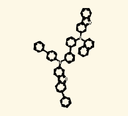 c1ccc(-c2ccc(N(c3cccc(-c4cccc(N(c5ccc6c(c5)oc5ccccc56)c5cccc6ccccc56)c4)c3)c3ccc4c(c3)oc3cc(-c5ccccc5)ccc34)cc2)cc1